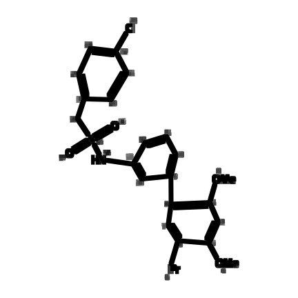 COc1cc(OC)c(C(C)C)cc1-c1cccc(NS(=O)(=O)Cc2ccc(Cl)cc2)c1